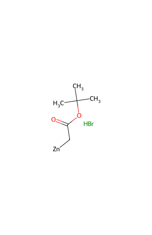 Br.CC(C)(C)OC(=O)[CH2][Zn]